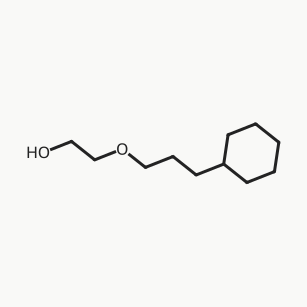 OCCOCCCC1CCCCC1